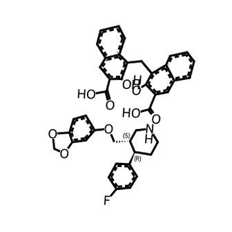 Fc1ccc([C@@H]2CCNC[C@H]2COc2ccc3c(c2)OCO3)cc1.O=C(O)c1cc2ccccc2c(Cc2c(O)c(C(=O)O)cc3ccccc23)c1O